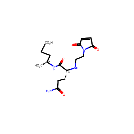 NC(=O)CC[C@@H](NCCN1C(=O)C=CC1=O)C(=O)N[C@H](CCC(=O)O)C(=O)O